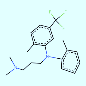 Cc1ccccc1N(CCCN(C)C)c1cc(C(F)(F)F)ccc1C